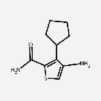 NC(=O)c1scc(N)c1C1CCCC1